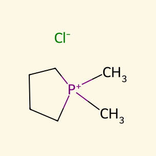 C[P+]1(C)CCCC1.[Cl-]